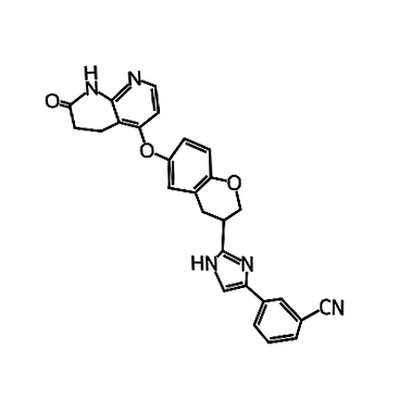 N#Cc1cccc(-c2c[nH]c(C3COc4ccc(Oc5ccnc6c5CCC(=O)N6)cc4C3)n2)c1